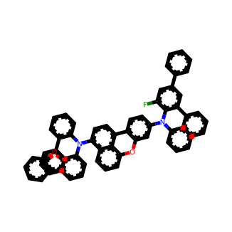 Fc1cc(-c2ccccc2)cc(-c2ccccc2)c1N(c1ccccc1)c1ccc2c(c1)Oc1cccc3c(N(c4ccccc4-c4ccccc4)c4cccc5c4oc4ccccc45)ccc-2c13